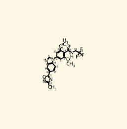 COc1cc(-n2cnc3cc(-c4nc(C)no4)ccc32)cc(OC)c1C(=O)NCC(F)(F)F